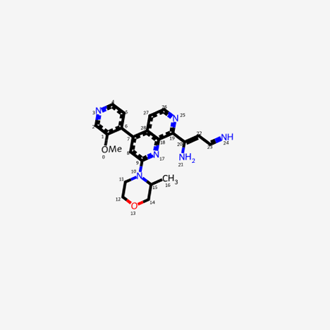 COc1cnccc1-c1cc(N2CCOCC2C)nc2c(/C(N)=C/C=N)nccc12